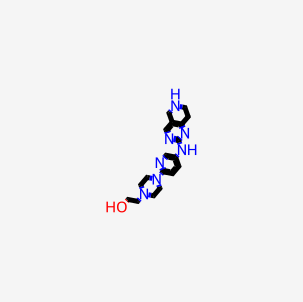 OCCN1CCN(c2ccc(Nc3ncc4c(n3)CCNC4)cn2)CC1